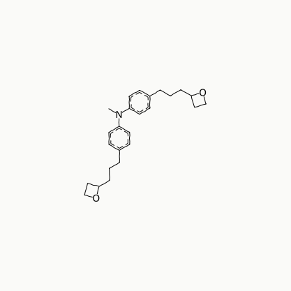 CN(c1ccc(CCCC2CCO2)cc1)c1ccc(CCCC2CCO2)cc1